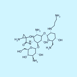 NCCCN[C@@H]1C[C@H](O)[C@@H](CN)O[C@@H]1OC1[C@@H](N)C[C@@H](NC(=O)C2(O)CC2N)[C@H](O[C@H]2O[C@H](CO)[C@@H](O)[C@H](N)[C@H]2O)[C@H]1O